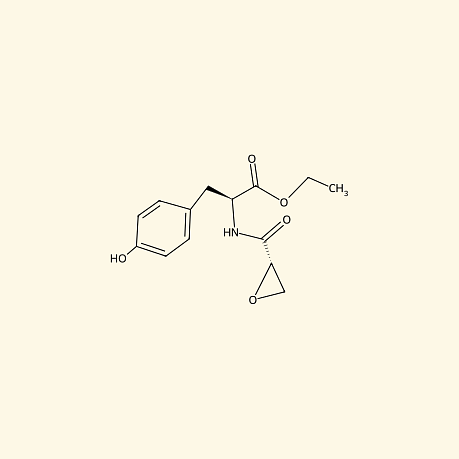 CCOC(=O)[C@H](Cc1ccc(O)cc1)NC(=O)[C@@H]1CO1